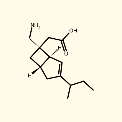 CCC(C)C1=C[C@H]2[C@H](C1)C[C@@]2(CN)CC(=O)O